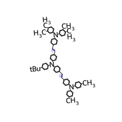 Cc1ccc(N(c2ccc(C)cc2)c2ccc(/C=C/c3ccc(N(c4ccc(/C=C/c5ccc(N(c6ccc(C)c(C)c6)c6ccc(C)c(C)c6)cc5)cc4)c4ccc(C(C)(C)C)cc4)cc3)cc2)cc1